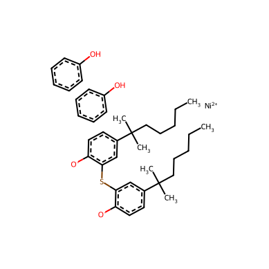 CCCCCC(C)(C)c1ccc([O-])c(Sc2cc(C(C)(C)CCCCC)ccc2[O-])c1.Oc1ccccc1.Oc1ccccc1.[Ni+2]